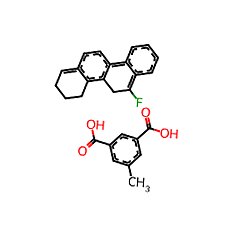 Cc1cc(C(=O)O)cc(C(=O)O)c1.FC1=c2ccccc2=c2ccc3c(c2C1)CCCC=3